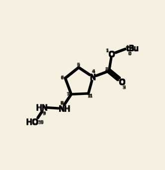 CC(C)(C)OC(=O)N1CCC(NNO)C1